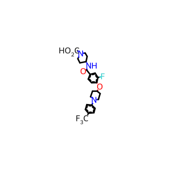 O=C(NC1CCN(C(=O)O)CC1)c1ccc(OC2CCN(c3ccc(C(F)(F)F)cc3)CC2)c(F)c1